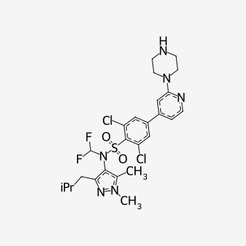 Cc1c(N(C(F)F)S(=O)(=O)c2c(Cl)cc(-c3ccnc(N4CCNCC4)c3)cc2Cl)c(CC(C)C)nn1C